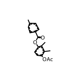 CC(=O)Oc1ccc(OC(=O)c2ccc(C)cc2)c(C)c1C